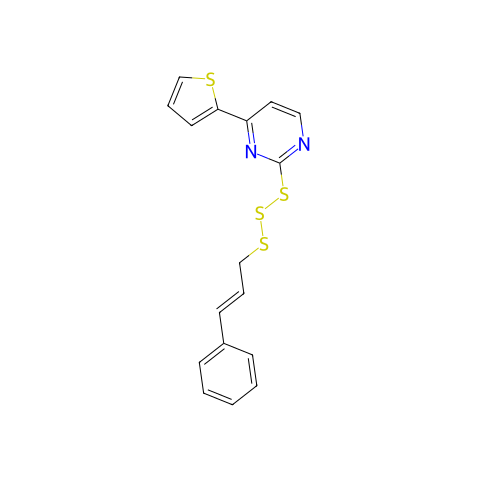 C(=C\c1ccccc1)/CSSSc1nccc(-c2cccs2)n1